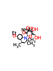 CCOc1ccc2c(c1)C(C)=CC(C)(C)N2C1O[C@H](CO)[C@@H](O)[C@H](O)[C@H]1ONC(C)=O